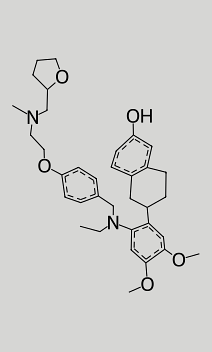 CCN(Cc1ccc(OCCN(C)CC2CCCO2)cc1)c1cc(OC)c(OC)cc1C1CCc2cc(O)ccc2C1